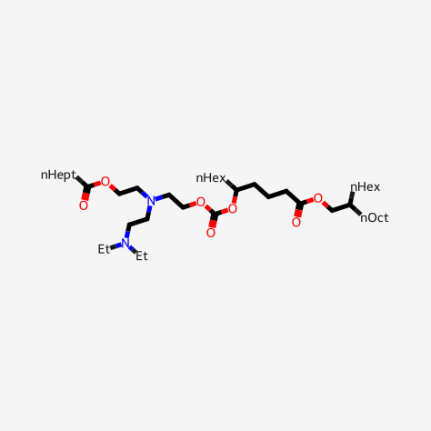 CCCCCCCCC(CCCCCC)COC(=O)CCCC(CCCCCC)OC(=O)OCCN(CCOC(=O)CCCCCCC)CCN(CC)CC